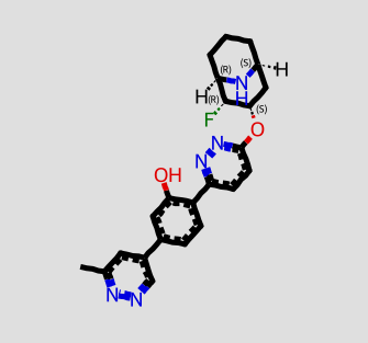 Cc1cc(-c2ccc(-c3ccc(O[C@H]4C[C@@H]5CCC[C@@H](N5)[C@H]4F)nn3)c(O)c2)cnn1